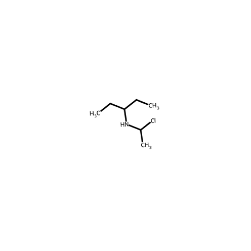 CCC(CC)NC(C)Cl